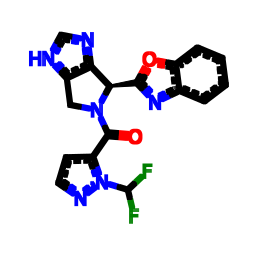 O=C(c1ccnn1C(F)F)N1Cc2[nH]cnc2[C@H]1c1nc2ccccc2o1